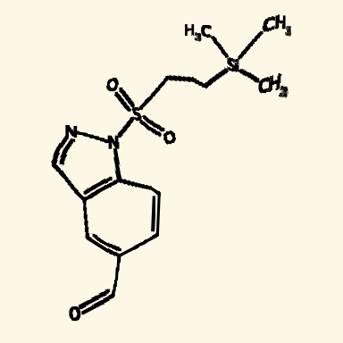 C[Si](C)(C)CCS(=O)(=O)n1ncc2cc(C=O)ccc21